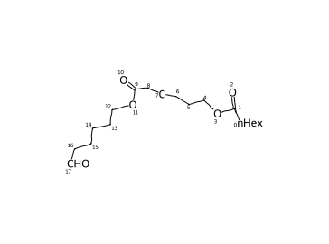 CCCCCCC(=O)OCCCCCC(=O)OCCCCCC=O